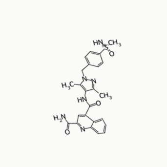 Cc1nn(Cc2ccc([S@](C)(=N)=O)cc2)c(C)c1NC(=O)c1cc(C(N)=O)nc2ccccc12